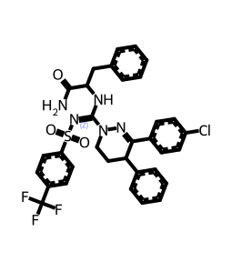 NC(=O)C(Cc1ccccc1)N/C(=N/S(=O)(=O)c1ccc(C(F)(F)F)cc1)N1CCC(c2ccccc2)C(c2ccc(Cl)cc2)=N1